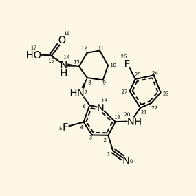 N#Cc1cc(F)c(N[C@@H]2CCCC[C@@H]2NC(=O)O)nc1Nc1cccc(F)c1